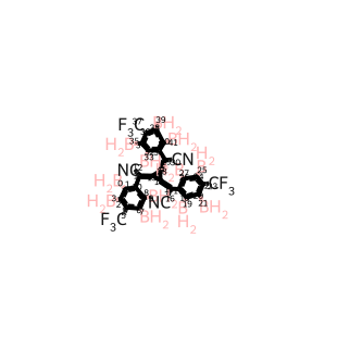 Bc1c(B)c(C(F)(F)F)c(B)c(B)c1C(C#N)=C1C(=C(C#N)c2c(B)c(B)c(C(F)(F)F)c(B)c2B)C1=C(C#N)c1c(B)c(B)c(C(F)(F)F)c(B)c1B